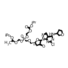 C=C(OCOP(=O)(COC[C@@H]1CC(=O)C(n2ncc3c(NC4CCOC4)nc(Cl)nc32)O1)OCOC(=O)OC(C)C)OC(C)C